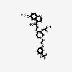 COc1ccc2nccc([C@H](O)CC[C@@H]3CCN(CCSc4cccc(C(F)(F)F)c4)C[C@@H]3CC(=O)O)c2c1